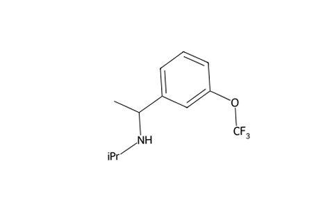 CC(C)NC(C)c1cccc(OC(F)(F)F)c1